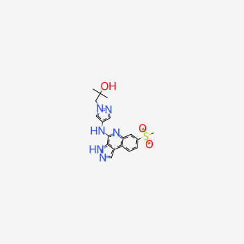 CC(C)(O)Cn1cc(Nc2nc3cc(S(C)(=O)=O)ccc3c3cn[nH]c23)cn1